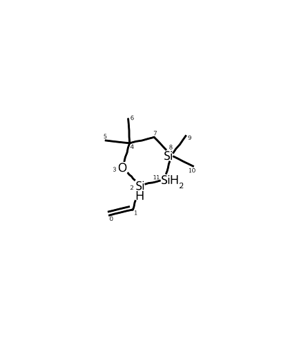 C=C[SiH]1OC(C)(C)C[Si](C)(C)[SiH2]1